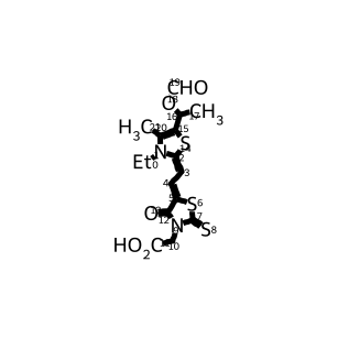 CCN1C(=CC=C2SC(=S)N(CC(=O)O)C2=O)SC(C(C)OC=O)=C1C